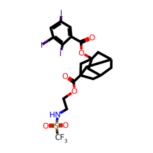 O=C(OC12CC3CC(C1)CC(C(=O)OCCNS(=O)(=O)C(F)(F)F)(C3)C2)c1cc(I)cc(I)c1I